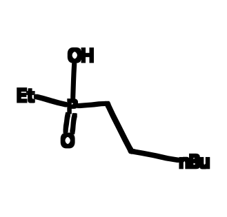 CCCCCCP(=O)(O)CC